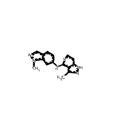 Cc1n[nH]c2ccnc(Nc3ccc4cnn(C)c4c3)c12